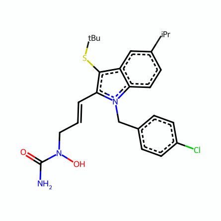 CC(C)c1ccc2c(c1)c(SC(C)(C)C)c(/C=C/CN(O)C(N)=O)n2Cc1ccc(Cl)cc1